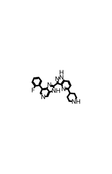 Fc1ccccc1-c1cncc2[nH]c(-c3n[nH]c4ccc(C5CCNCC5)nc34)nc12